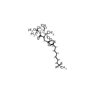 CCOP(C)(=O)C(Cc1nc(CCCCCCC(C)(F)F)no1)C(=O)OC(C)(C)C